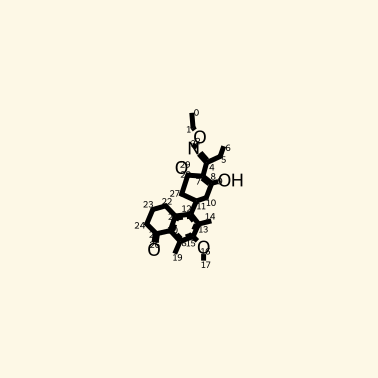 CCON=C(CC)C1=C(O)CC(c2c(C)c(OC)c(C)c3c2CCCC3=O)CC1=O